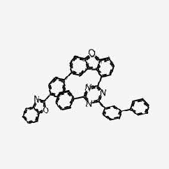 c1ccc(-c2cccc(-c3nc(-c4ccccc4)nc(-c4cccc5oc6ccc(-c7ccc(-c8nc9ccccc9o8)cc7)cc6c45)n3)c2)cc1